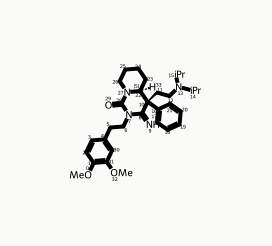 COc1ccc(CCN2C(=N)[C@@](CCN(C(C)C)C(C)C)(c3ccccc3)[C@@H]3CCCCN3C2=O)cc1OC